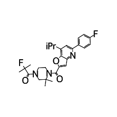 CC(C)c1cc(-c2ccc(F)cc2)nc2cc(C(=O)N3CCN(C(=O)C(C)(C)F)CC3(C)C)oc12